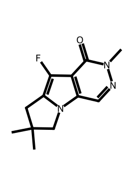 Cn1ncc2c(c(F)c3n2CC(C)(C)C3)c1=O